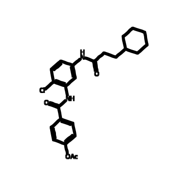 CC(=O)Oc1ccc(C(=O)Nc2cc(NC(=O)CCC3CCCCC3)ccc2Cl)cc1